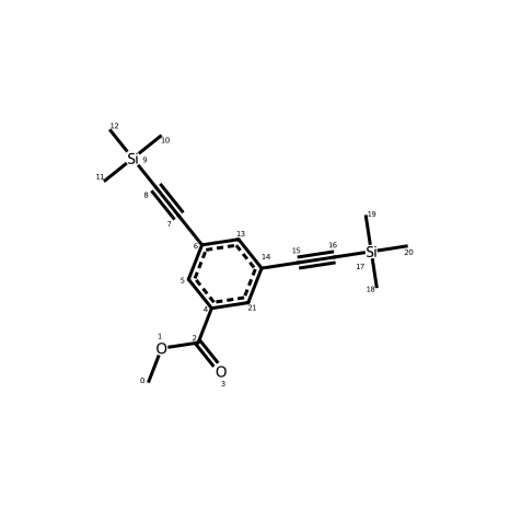 COC(=O)c1cc(C#C[Si](C)(C)C)cc(C#C[Si](C)(C)C)c1